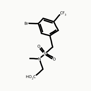 CN(CC(=O)O)S(=O)(=O)Cc1cc(Br)cc(C(F)(F)F)c1